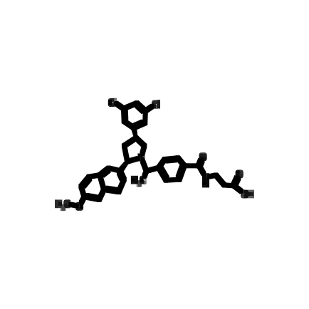 COc1ccc2cc([C@H]3C[C@@H](c4cc(Cl)cc(Cl)c4)CN3C(C)c3ccc(C(=O)NCCC(=O)O)cc3)ccc2c1